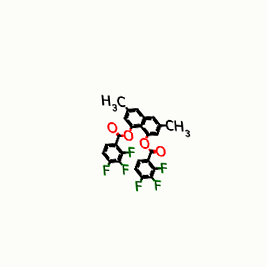 Cc1cc(OC(=O)c2ccc(F)c(F)c2F)c2c(OC(=O)c3ccc(F)c(F)c3F)cc(C)cc2c1